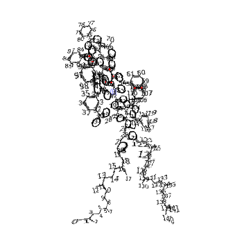 CC(C)CCCC(C)CCCC(C)CCCC(C)CCOCC(CO[C@@H]1OC(COC(=O)c2ccccc2)[C@@H](O[C@H](O)/C(OC(=O)c2ccccc2)=C(\OC(=O)c2ccccc2)[C@@H](O)CCO[C@@H]2OC(C)[C@H](OC(=O)c3ccccc3)C(OC(=O)c3ccccc3)C2OC(=O)c2ccccc2)C(OC(=O)c2ccccc2)C1OC(=O)c1ccccc1)OCCC(C)CCCC(C)CCCC(C)CCCC(C)C